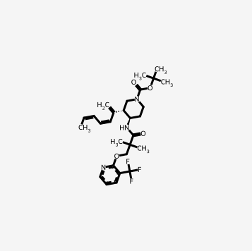 C=C(/C=C\C=C/C)[C@@H]1CN(C(=O)OC(C)(C)C)CC[C@H]1NC(=O)C(C)(C)COc1ncccc1C(F)(F)F